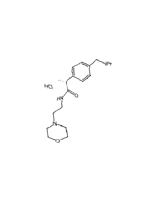 CC(C)Cc1ccc([C@@H](C)C(=O)NCCN2CCOCC2)cc1.Cl